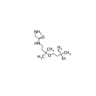 CCC(C)(C)CCOC(C)(C)CCNC(=O)CN